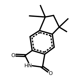 CC1(C)CC(C)(C)c2cc3c(cc21)C(=O)NC3=O